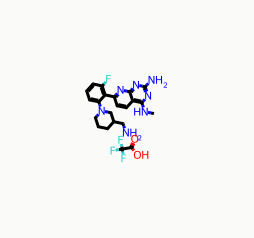 CNc1nc(N)nc2nc(-c3c(F)cccc3N3CCCC(CN)C3)ccc12.O=C(O)C(F)(F)F